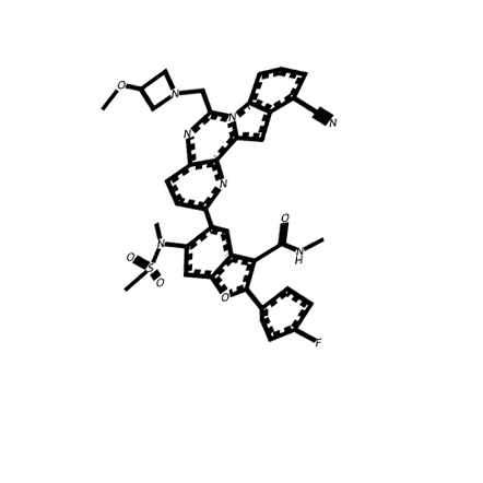 CNC(=O)c1c(-c2ccc(F)cc2)oc2cc(N(C)S(C)(=O)=O)c(-c3ccc4nc(CN5CC(OC)C5)n5c6cccc(C#N)c6cc5c4n3)cc12